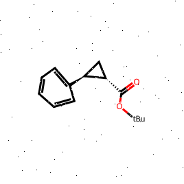 CC(C)(C)OC(=O)[C@H]1C[C@@H]1c1ccccc1